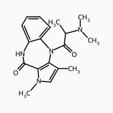 Cc1cn(C)c2c1N(C(=O)C(C)N(C)C)c1ccccc1NC2=O